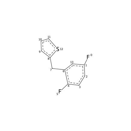 Fc1ccc(F)c(Cc2cccs2)c1